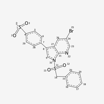 CS(=O)(=O)c1ccc(-c2cn(S(=O)(=O)Cc3ccccc3)c3ncc(Br)cc23)cc1